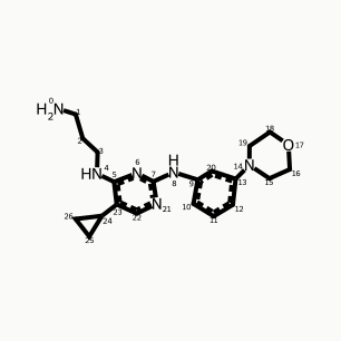 NCCCNc1nc(Nc2cccc(N3CCOCC3)c2)ncc1C1CC1